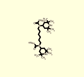 CCCCCCC(=O)N(CCCCCCN(C(=O)CCCCCC)C1CC(C)(C)NC(C)(C)C1)C1CC(C)(C)NC(C)(C)C1